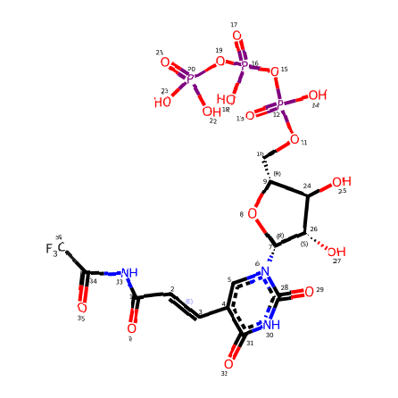 O=C(/C=C/c1cn([C@@H]2O[C@H](COP(=O)(O)OP(=O)(O)OP(=O)(O)O)C(O)[C@@H]2O)c(=O)[nH]c1=O)NC(=O)C(F)(F)F